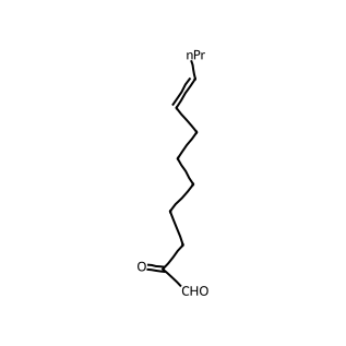 CCCC=CCCCCCC(=O)C=O